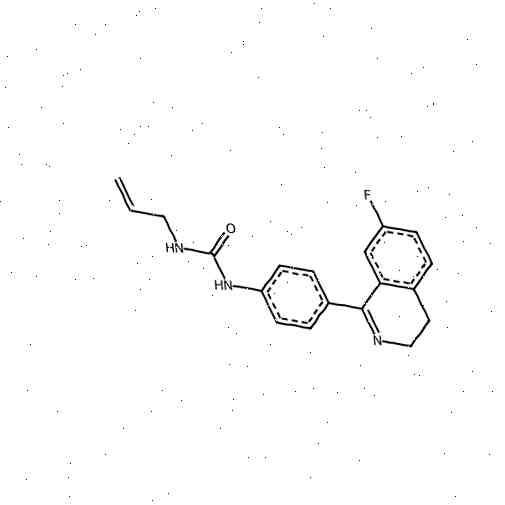 C=CCNC(=O)Nc1ccc(C2=NCCc3ccc(F)cc32)cc1